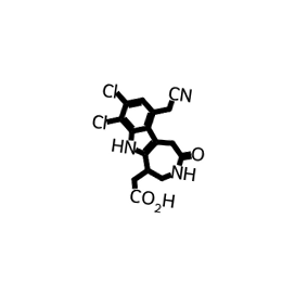 N#CCc1cc(Cl)c(Cl)c2[nH]c3c(c12)CC(=O)NCC3CC(=O)O